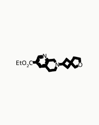 CCOC(=O)c1cnc2c(c1)CCN(C1CC3(CCOC3)C1)C2